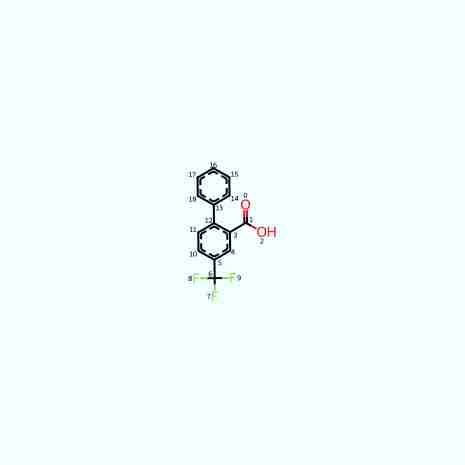 O=C(O)c1cc(C(F)(F)F)ccc1-c1ccccc1